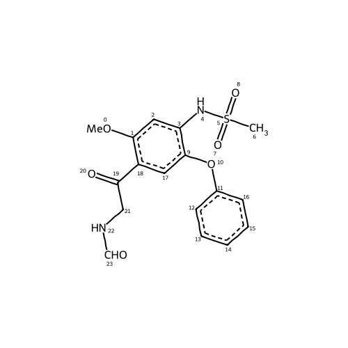 COc1cc(NS(C)(=O)=O)c(Oc2ccccc2)cc1C(=O)CNC=O